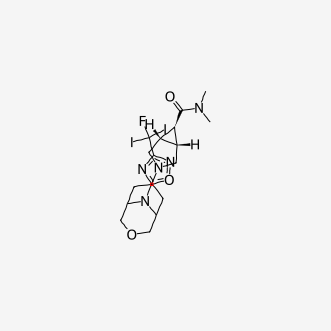 CN(C)C(=O)[C@H]1[C@@H]2CN(C3CC4COCC(C3)N4c3nc(C(F)(I)I)no3)C[C@@H]21